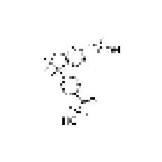 CC(C)(O)Cc1ccc2c(c1)CC(C)(C)C2(C)c1ccc(C(=O)C(C)(C)O)cc1